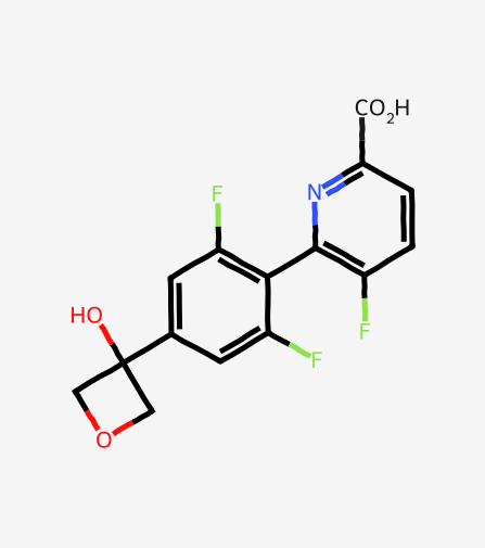 O=C(O)c1ccc(F)c(-c2c(F)cc(C3(O)COC3)cc2F)n1